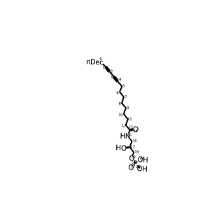 CCCCCCCCCCC#CC#CCCCCCCCCC(=O)NCC(O)COP(=O)(O)O